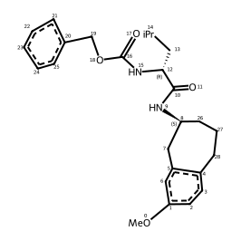 COc1ccc2c(c1)C[C@@H](NC(=O)[C@@H](CC(C)C)NC(=O)OCc1ccccc1)CCC2